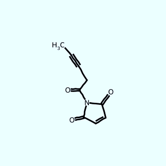 CC#CCC(=O)N1C(=O)C=CC1=O